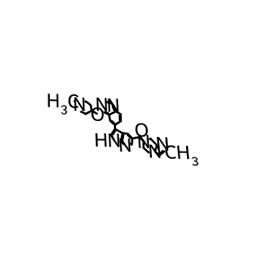 Cc1cn2c(n1)CN(C(=O)c1cnc3[nH]cc(-c4ccc5ncnc(OC6CCN(C)CC6)c5c4)c3c1)CC2